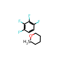 C1CC[SiH2]OC1.Fc1ccc(F)c(F)c1F